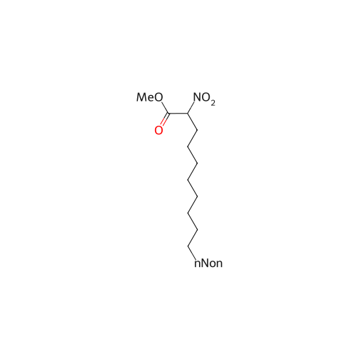 CCCCCCCCCCCCCCCCCC(C(=O)OC)[N+](=O)[O-]